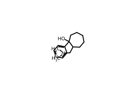 CN(C)CC1CCCCCC1(O)c1ccncc1